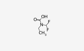 CCN(C(=O)O)C(F)F